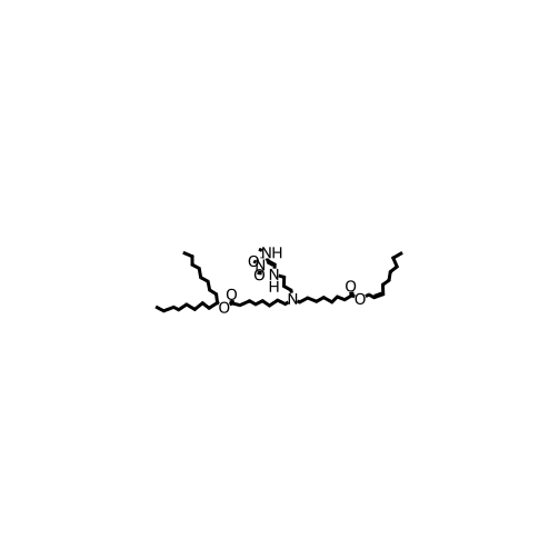 CCCCCC/C=C\COC(=O)CCCCCCCN(CCCCCCCC(=O)OC(CCCCCCCC)CCCCCCCC)CCCNC=C(NC)[N+](=O)[O-]